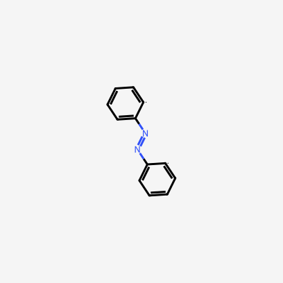 [c]1ccccc1/N=N/c1[c]cccc1